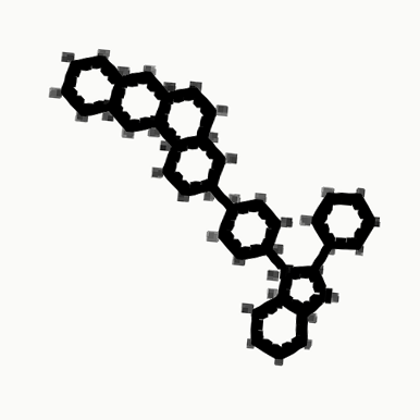 c1ccc(-c2nc3ccccc3n2-c2ccc(-c3ccc4c(ccc5cc6ccccc6cc54)c3)cc2)cc1